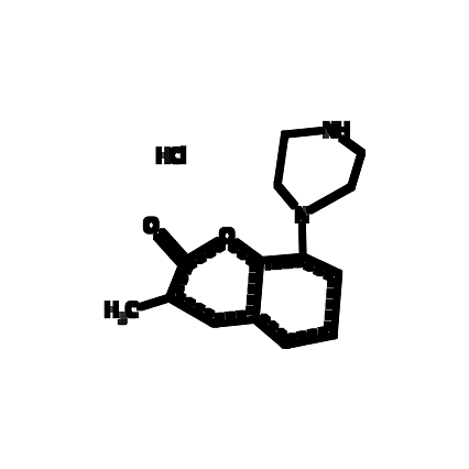 Cc1cc2cccc(N3CCNCC3)c2oc1=O.Cl